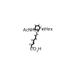 CCCCCC[C@H]1CCC(NC(C)=O)[C@@H]1CCCCCCC(=O)O